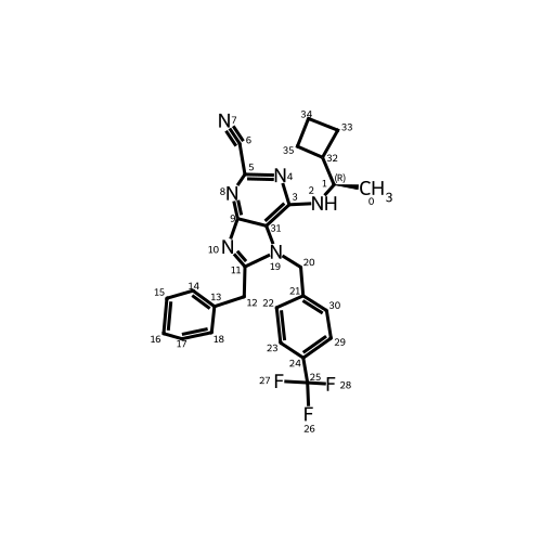 C[C@@H](Nc1nc(C#N)nc2nc(Cc3ccccc3)n(Cc3ccc(C(F)(F)F)cc3)c12)C1CCC1